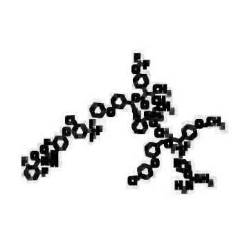 CC(C)C(C(=O)OC(C#N)c1cccc(Oc2ccccc2)c1)c1ccc(OC(F)F)cc1.CCOP(=S)(CC)Sc1ccccc1.CCOc1ccc(C(COCc2cccc(Oc3ccc(Cl)cc3)c2)C(F)(F)F)cc1.NC(N)=O.O=C(NC(=O)c1c(F)cccc1F)Nc1ccc(Oc2ccc(C(F)(F)F)cc2Cl)cc1F.c1cscn1